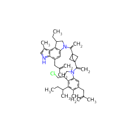 C=C(C)Cc1cc2c(c(C(C)CC)c1C)C(CCl)CN2C(=C)C12CC(C(=C)N3CC(CC)c4c3cc(CC(=C)C)c3[nH]cc(C)c43)(C1)C2